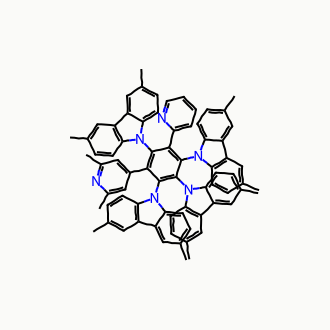 Cc1ccc2c(c1)c1cc(C)ccc1n2-c1c(-c2cc(C)nc(C)c2)c(-n2c3ccc(C)cc3c3cc(C)ccc32)c(-n2c3ccc(C)cc3c3cc(C)ccc32)c(-n2c3ccc(C)cc3c3cc(C)ccc32)c1-c1ccccn1